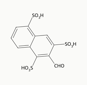 O=Cc1c(S(=O)(=O)O)cc2c(S(=O)(=O)O)cccc2c1S(=O)(=O)O